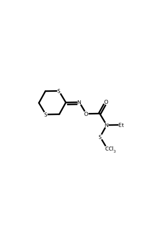 CCN(SC(Cl)(Cl)Cl)C(=O)ON=C1CSCCS1